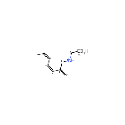 C=C(/C=C\C=C/C)CNCC(=O)O